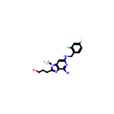 Cn1c(CCCO)nc2c(N)nc(NCc3ccc(F)cc3F)cc21